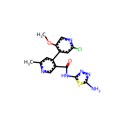 COc1cnc(Cl)cc1-c1cc(C)ncc1C(=O)Nc1nnc(N)s1